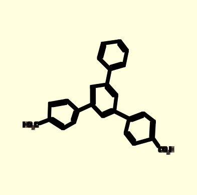 O=C(O)c1ccc(-c2cc(-c3ccccc3)cc(-c3ccc(C(=O)O)cc3)c2)cc1